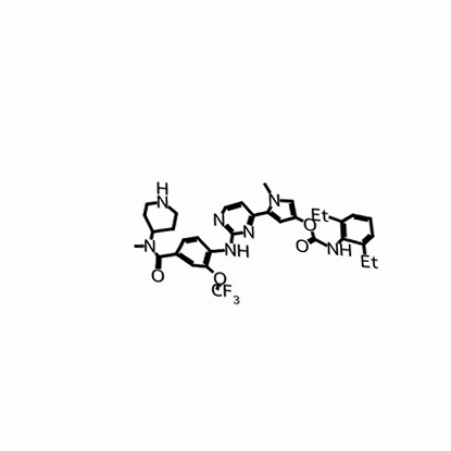 CCc1cccc(CC)c1NC(=O)Oc1cc(-c2ccnc(Nc3ccc(C(=O)N(C)C4CCNCC4)cc3OC(F)(F)F)n2)n(C)c1